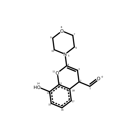 O=CC1C=C(N2CCOCC2)Oc2c(O)cccc21